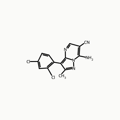 Cc1nn2c(N)c(C#N)cnc2c1-c1ccc(Cl)cc1Cl